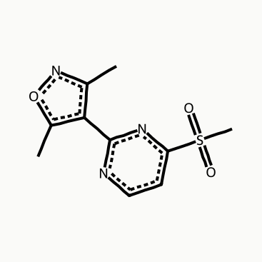 Cc1noc(C)c1-c1nccc(S(C)(=O)=O)n1